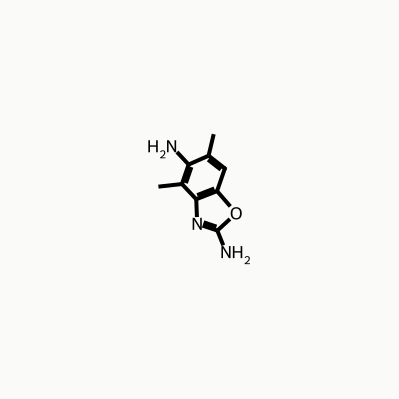 Cc1cc2oc(N)nc2c(C)c1N